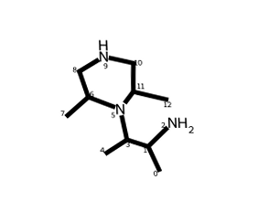 CC(N)C(C)N1C(C)CNCC1C